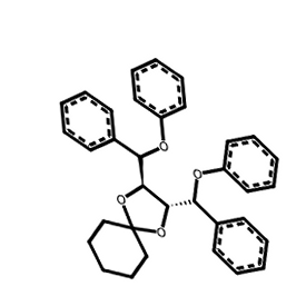 c1ccc(OC(c2ccccc2)[C@@H]2OC3(CCCCC3)O[C@H]2C(Oc2ccccc2)c2ccccc2)cc1